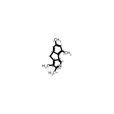 Cc1cc(C)c2c(c1)Cc1c-2cnc(C)c1C